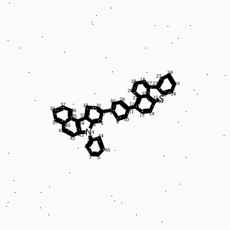 c1ccc(-n2c3cc(-c4ccc(-c5ccc6c7c(cccc57)-c5ccccc5S6)cc4)ccc3c3c4ccccc4ccc32)cc1